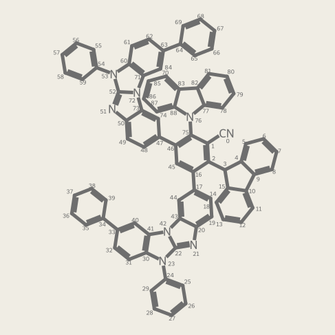 N#Cc1c(C2c3ccccc3-c3ccccc32)c(-c2ccc3nc4n(-c5ccccc5)c5ccc(-c6ccccc6)cc5n4c3c2)cc(-c2ccc3nc4n(-c5ccccc5)c5ccc(-c6ccccc6)cc5n4c3c2)c1-n1c2ccccc2c2ccccc21